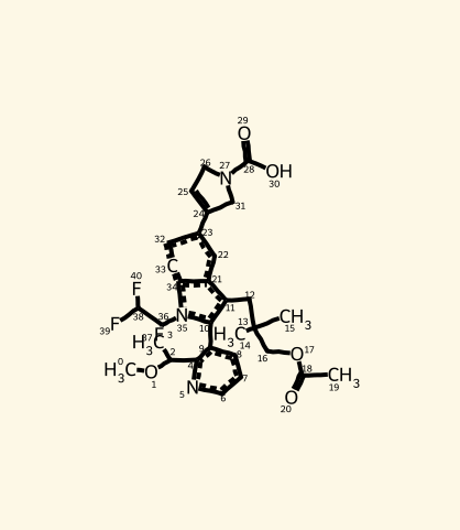 COC(C)c1ncccc1-c1c(CC(C)(C)COC(C)=O)c2cc(C3=CCN(C(=O)O)C3)ccc2n1C(F)C(F)F